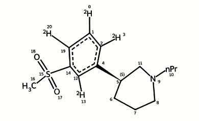 [2H]c1c([2H])c([C@@H]2CCCN(CCC)C2)c([2H])c(S(C)(=O)=O)c1[2H]